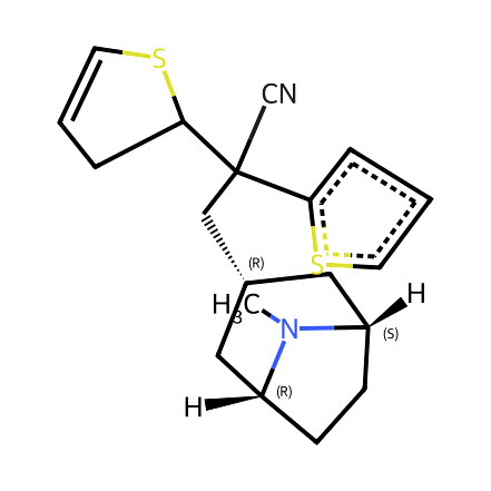 CN1[C@@H]2CC[C@H]1C[C@@H](CC(C#N)(c1cccs1)C1CC=CS1)C2